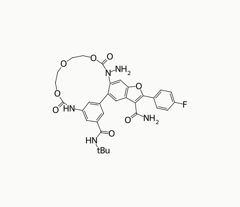 CC(C)(C)NC(=O)c1cc2cc(c1)-c1cc3c(C(N)=O)c(-c4ccc(F)cc4)oc3cc1N(N)C(=O)OCCOCCOC(=O)N2